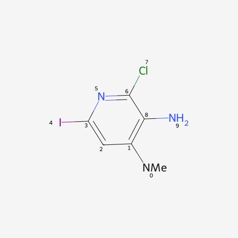 CNc1cc(I)nc(Cl)c1N